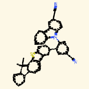 CC1(C)c2ccccc2-c2ccc3c(sc4ccc(-c5cc(C#N)ccc5-n5c6ccccc6c6cc(C#N)ccc65)cc43)c21